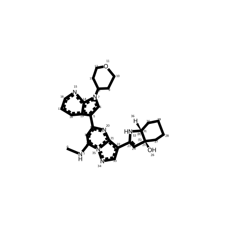 CNc1cc(-c2cn(C3CCOCC3)c3ncccc23)nc2c(C3=C[C@@]4(O)CCCC[C@H]4N3)cnn12